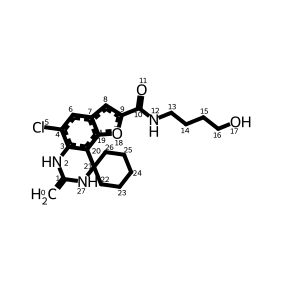 C=C1Nc2c(Cl)cc3cc(C(=O)NCCCCO)oc3c2C2(CCCCC2)N1